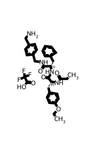 CCOc1ccc(C[C@@H](NC(=O)CC)C(=O)N[C@@H](Cc2ccccc2)C(=O)NCc2ccc(CN)cc2)cc1.O=C(O)C(F)(F)F